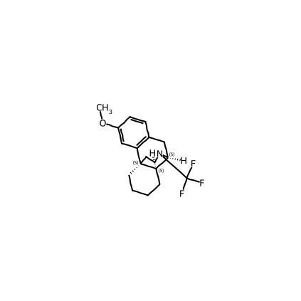 COc1ccc2c(c1)[C@]13CCCC[C@@H]1[C@H](C2)N(C(F)(F)F)CC3